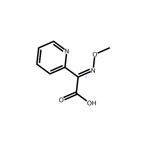 CO/N=C(/C(=O)O)c1ccccn1